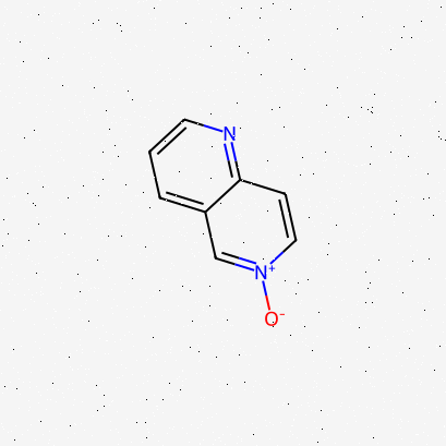 [O-][n+]1ccc2ncccc2c1